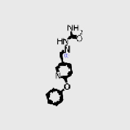 NC(=O)N/N=C/c1ccc(Oc2ccccc2)nc1